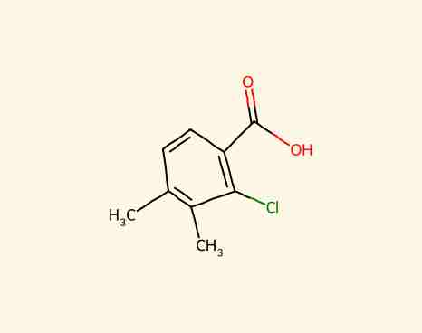 Cc1ccc(C(=O)O)c(Cl)c1C